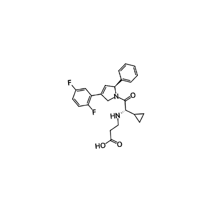 O=C(O)CCN[C@H](C(=O)N1CC(c2cc(F)ccc2F)=C[C@H]1c1ccccc1)C1CC1